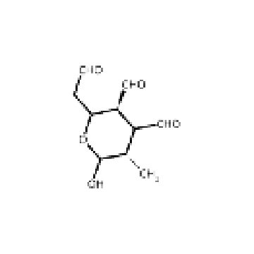 C[C@@H]1C(O)OC(CC=O)[C@@H](C=O)C1C=O